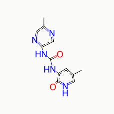 Cc1c[nH]c(=O)c(NC(=O)Nc2cnc(C)cn2)c1